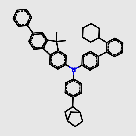 CC1(C)c2cc(-c3ccccc3)ccc2-c2ccc(N(c3ccc(-c4ccccc4C4CCCCC4)cc3)c3ccc(C4CC5CCC4C5)cc3)cc21